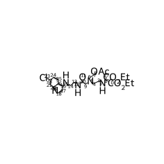 CCOC(=O)C(NCCN(CCOC(C)=O)CC(=O)NCCNc1ccnc2cc(Cl)ccc12)C(=O)OCC